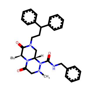 CCC(C)[C@H]1C(=O)N(CCC(c2ccccc2)c2ccccc2)C[C@H]2N1C(=O)CN(C)N2C(=O)NCc1ccccc1